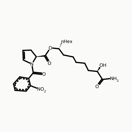 CCCCCC[C@H](CCCCC[C@@H](O)C(N)=O)OC(=O)[C@@H]1CC=CN1C(=O)c1ccccc1[N+](=O)[O-]